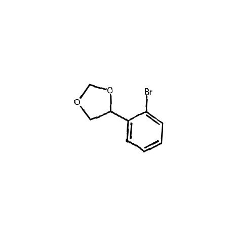 Brc1ccccc1C1COCO1